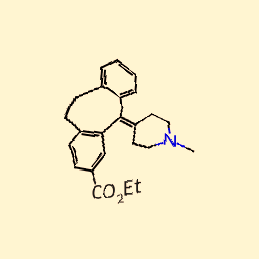 CCOC(=O)c1ccc2c(c1)C(=C1CCN(C)CC1)c1ccccc1CC2